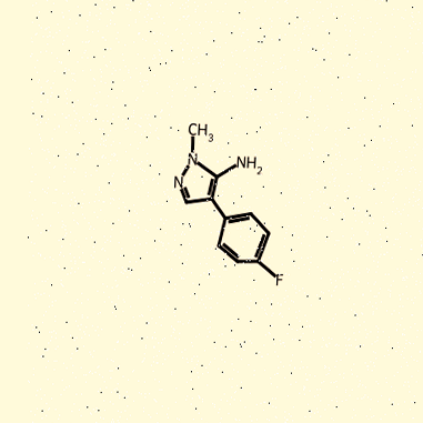 Cn1ncc(-c2ccc(F)cc2)c1N